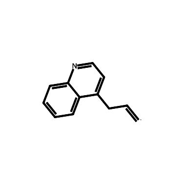 [CH]=CCc1ccnc2ccccc12